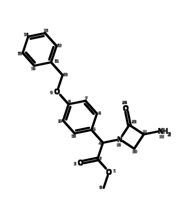 COC(=O)C(c1ccc(OCc2ccccc2)cc1)N1CC(N)C1=O